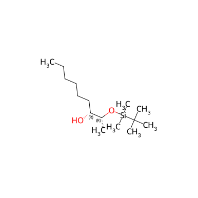 CCCCCC[C@@H](O)[C@@H](C)O[Si](C)(C)C(C)(C)C